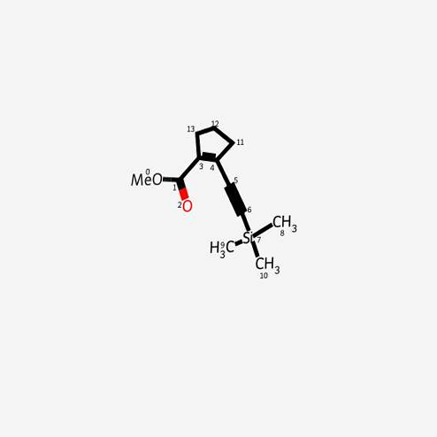 COC(=O)C1=C(C#C[Si](C)(C)C)CCC1